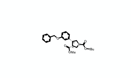 COC(=O)[C@H]1CN(C(=O)OC(C)(C)C)C[C@H]1c1cccc(OCc2ccccc2)c1